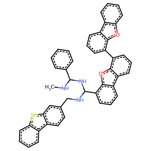 CNC(NC(NCc1ccc2c(c1)sc1ccccc12)c1cccc2c1oc1c(-c3cccc4c3oc3ccccc34)cccc12)c1ccccc1